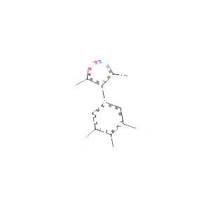 Cc1noc(C)c1-c1cc(Cl)c(C(C)(C)C)c(C(C)(C)C)c1